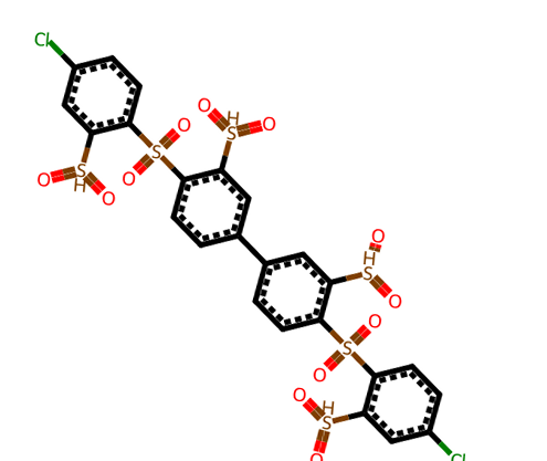 O=[SH](=O)c1cc(Cl)ccc1S(=O)(=O)c1ccc(-c2ccc(S(=O)(=O)c3ccc(Cl)cc3[SH](=O)=O)c([SH](=O)=O)c2)cc1[SH](=O)=O